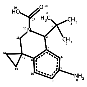 CC(C)(C)C1c2cc(N)ccc2C2(CC2)CN1C(=O)O